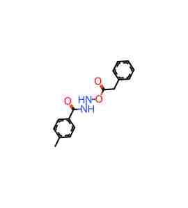 Cc1ccc(C(=O)NNOC(=O)Cc2ccccc2)cc1